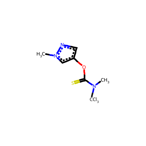 CN(C(=S)Oc1cnn(C)c1)C(Cl)(Cl)Cl